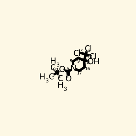 CC(C)(C)OC(=O)N1CCC(O)(C(Cl)(Cl)Cl)CC1